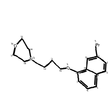 CC(C)c1ccc2cccc(OCCCN3CCOCC3)c2c1